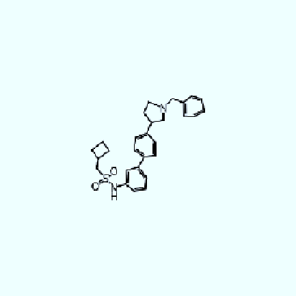 O=S(=O)(CC1CCC1)Nc1cccc(-c2ccc(C3CCN(Cc4ccccc4)C3)cc2)c1